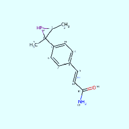 CC1PC1(C)c1ccc(/C=C/C(N)=O)cc1